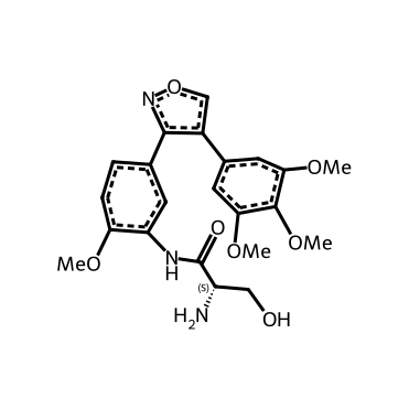 COc1ccc(-c2nocc2-c2cc(OC)c(OC)c(OC)c2)cc1NC(=O)[C@@H](N)CO